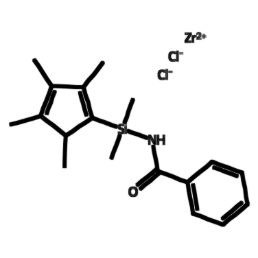 CC1=C(C)C(C)C([Si](C)(C)NC(=O)c2ccccc2)=C1C.[Cl-].[Cl-].[Zr+2]